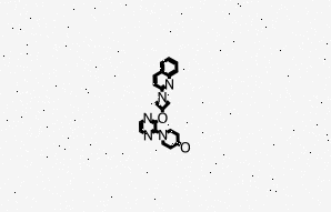 O=C1CCN(c2nccnc2OC2CN(c3ccc4ccccc4n3)C2)CC1